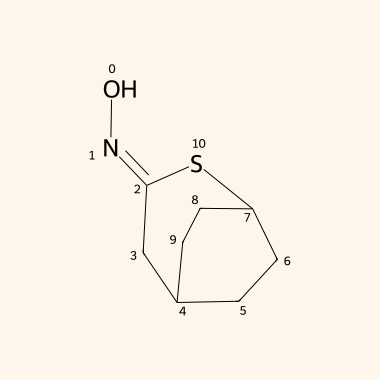 O/N=C1/CC2CCC(CC2)S1